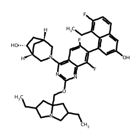 CCc1c(F)ccc2cc(O)cc(-c3c(F)cc4c(N5C[C@@H]6C[C@H](C5)[C@H](O)C6)nc(OCC56CC(CC)CN5CC(CC)C6)nc4c3F)c12